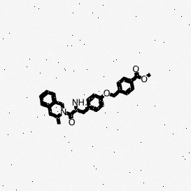 COC(=O)c1ccc(COc2ccc(CC(N)C(=O)N3Cc4ccccc4CC3C)cc2)cc1